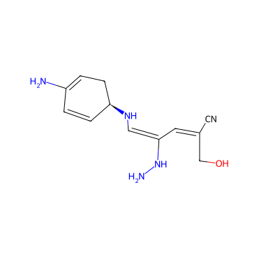 N#C/C(=C/C(=C\N[C@H]1C=CC(N)=CC1)NN)CO